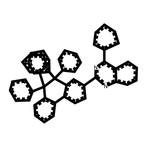 c1ccc(-c2nc(-c3ccc4c(c3)C(c3ccccc3)(c3ccccc3)C(c3ccccc3)(c3ccccc3)c3ccccc3-4)nc3ccccc23)cc1